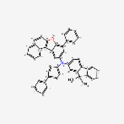 CC1(C)c2ccccc2-c2ccc(N(c3ccc(-c4ccccc4)cc3)c3cc(-c4ccccc4)c4oc5ccc6ccccc6c5c4c3)cc21